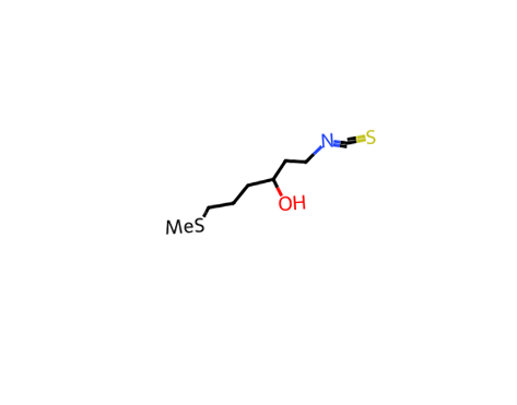 CSCCCC(O)CCN=C=S